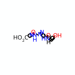 O=C(NC1[C@@H]2CC3C[C@H]1CC(O)(C3)C2)c1ccc2c(c1)ncn2CCNC(=O)N1CCC(C(=O)O)CC1